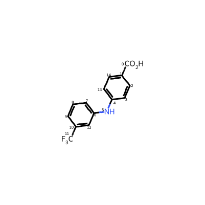 O=C(O)c1ccc(Nc2cccc(C(F)(F)F)c2)cc1